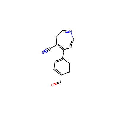 N#CC1=C(C2=CC=C(C=O)CC2)C=CN=CC1